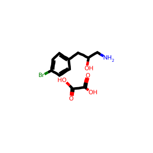 NCC(O)Cc1ccc(Br)cc1.O=C(O)C(=O)O